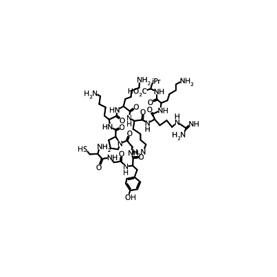 CC(C)C(NC(=O)C(CCCCN)NC(=O)C(CCCNC(=N)N)NC(=O)C(CCCCN)NC(=O)C(CCCCN)NC(=O)C(CCCCN)NC(=O)C1CCCN1C(=O)CNC(=O)C(Cc1ccc(O)cc1)NC(=O)CNC(=O)C(N)CS)C(=O)O